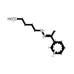 CC(=NOCCCCC(=O)O)c1cccnc1